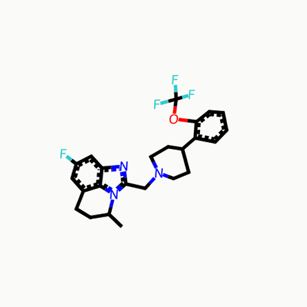 CC1CCc2cc(F)cc3nc(CN4CCC(c5ccccc5OC(F)(F)F)CC4)n1c23